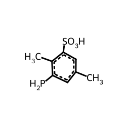 Cc1cc(P)c(C)c(S(=O)(=O)O)c1